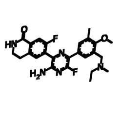 CCN(C)Cc1cc(-c2nc(-c3cc4c(cc3F)C(=O)NCC4)c(N)nc2F)cc(C)c1OC